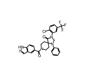 O=C(c1ccc2[nH]ncc2c1)N1CCC2(CC1)C(=O)N(c1cc(C(F)(F)F)ccc1Cl)CN2c1ccccc1